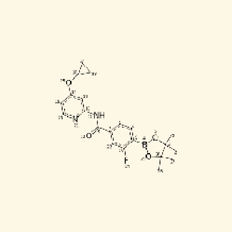 CC1(C)OB(c2ccc(C(=O)Nc3cc(OC4CC4)ccn3)cc2F)OC1(C)C